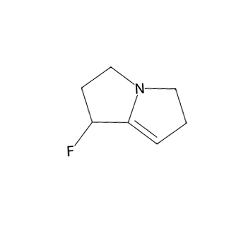 FC1CCN2CCC=C12